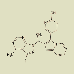 CC(c1cc2ccccn2c1-c1ccc(O)nc1)n1nc(I)c2c(N)ncnc21